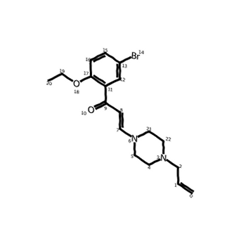 C=CCN1CCN(C=CC(=O)c2cc(Br)ccc2OCC)CC1